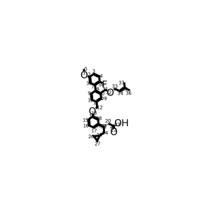 COc1ccc(F)c(-c2ccc(COc3cccc([C@H](CC(=O)O)CC4CC4)c3)cc2COCC=C(C)C)c1